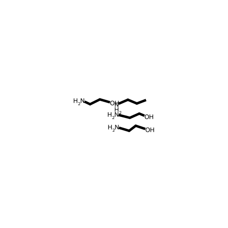 CCCN.NCCO.NCCO.NCCO